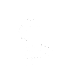 Cc1cc(-c2cn(CC(=O)Nc3cc(N4CCOC[C@@H]4C)ncc3Cl)c3nc4n(c(=O)c23)CCC4)cc(Cl)c1O